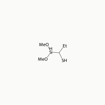 CCC(S)[SiH](OC)OC